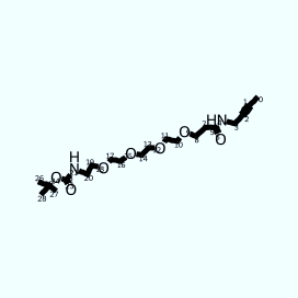 CC#CCNC(=O)CCOCCOCCOCCOCCNC(=O)OC(C)(C)C